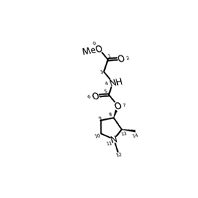 COC(=O)CNC(=O)O[C@@H]1CCN(C)[C@@H]1C